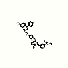 CN(CCOc1ccc(CC(CCc2cccc(C(=O)O)c2)C(=O)C(F)(F)F)cc1)CC(c1ccc(Cl)cc1)c1ccc(Cl)cc1